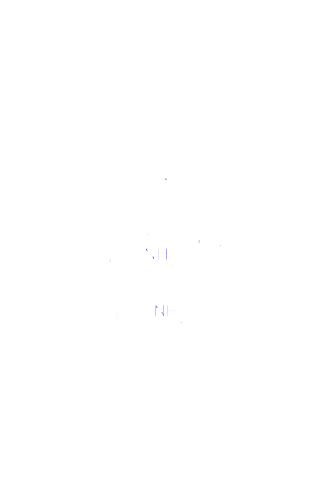 NC(N)(c1ccccc1)c1ccccc1-c1ccccc1